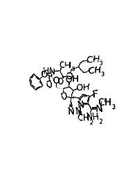 C=Nn1c([C@]2(C#N)O[C@H](CO[P@@](=O)(N[C@@H](C)C(=O)OCC(CC)CC)Oc3ccccc3)[C@@H](O)[C@H]2O)cc(F)c1/C(N)=N\C